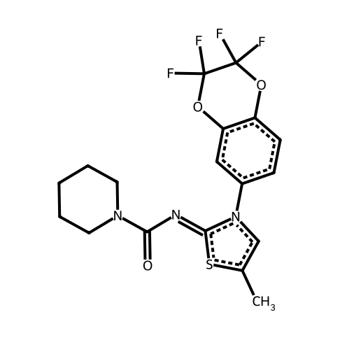 Cc1cn(-c2ccc3c(c2)OC(F)(F)C(F)(F)O3)/c(=N/C(=O)N2CCCCC2)s1